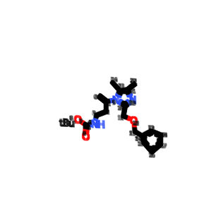 C=C(CCNC(=O)OC(C)(C)C)n1c(COCc2ccccc2)nc(C)c1C